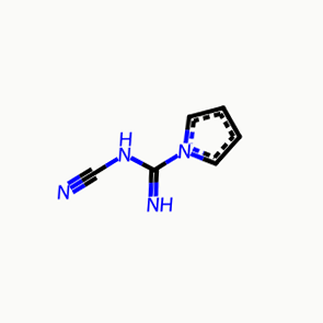 N#CNC(=N)n1cccc1